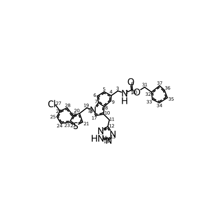 O=C(NCc1ccc2c(c1)c(Cc1nn[nH]n1)cn2Cc1csc2ccc(Cl)cc12)OCc1ccccc1